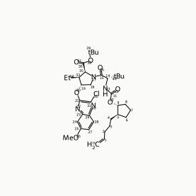 C=CCCC[C@@H]1CCC[C@H]1OC(=O)N[C@H](C(=O)N1C[C@H](Oc2nc3cc(OC)ccc3nc2Cl)[C@@H](CC)[C@H]1C(=O)OC(C)(C)C)C(C)(C)C